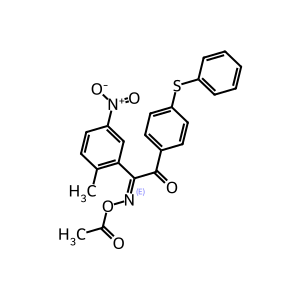 CC(=O)O/N=C(/C(=O)c1ccc(Sc2ccccc2)cc1)c1cc([N+](=O)[O-])ccc1C